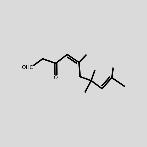 CC(C)=CC(C)(C)CC(C)=CC(=O)CC=O